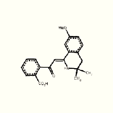 COc1ccc2c(c1)C(=CC(=O)c1ccccc1C(=O)O)NC(C)(C)C2